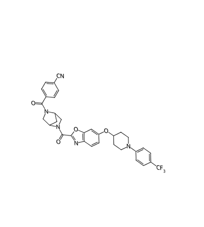 N#Cc1ccc(C(=O)N2CC3CC2CN3C(=O)c2nc3ccc(OC4CCN(c5ccc(C(F)(F)F)cc5)CC4)cc3o2)cc1